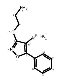 Cl.NCCOc1noc(-c2ccccc2)c1Br